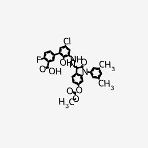 COC(=O)Oc1ccc2c(c1)N(c1cc(C)cc(C)c1)C(=O)C2=NNc1cc(Cl)cc(-c2ccc(F)c(C(=O)O)c2)c1O